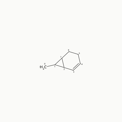 [CH2]C1C2C=CCCC12